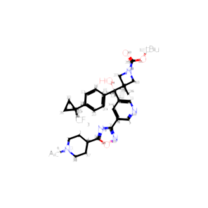 CC(=O)N1CCC(c2nc(-c3cncc([C@@](O)(c4ccc(C5(C(F)(F)F)CC5)cc4)C4(C)CN(C(=O)OC(C)(C)C)C4)c3)no2)CC1